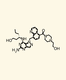 CCC[C@@H](CCO)Nc1nc(N)nc2cnn(Cc3ccc(C(=O)N4CCN(CCO)CC4)c4cccnc34)c12